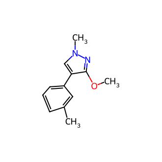 COc1nn(C)cc1-c1cccc(C)c1